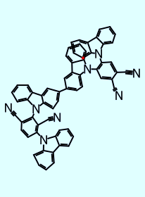 N#Cc1cc(-n2c3ccccc3c3ccccc32)c(-n2c3ccccc3c3cc(-c4ccc5c(c4)c4ccccc4n5-c4c(C#N)ccc(-n5c6ccccc6c6ccccc65)c4C#N)ccc32)cc1C#N